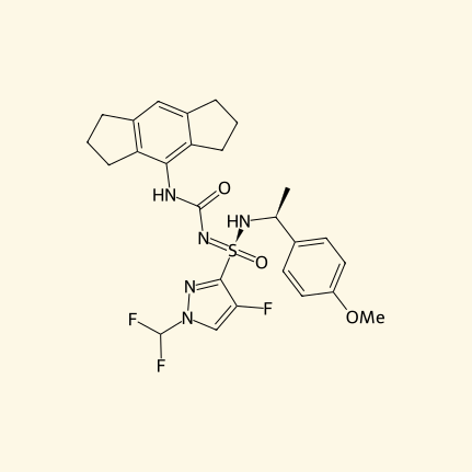 COc1ccc([C@H](C)N[S@](=O)(=NC(=O)Nc2c3c(cc4c2CCC4)CCC3)c2nn(C(F)F)cc2F)cc1